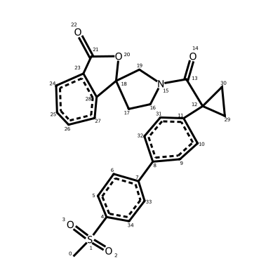 CS(=O)(=O)c1ccc(-c2ccc(C3(C(=O)N4CCC5(C4)OC(=O)c4ccccc45)CC3)cc2)cc1